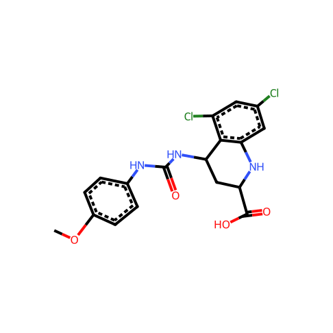 COc1ccc(NC(=O)NC2CC(C(=O)O)Nc3cc(Cl)cc(Cl)c32)cc1